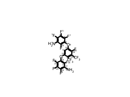 Nc1c(F)c(F)c(F)c(Oc2cc(Oc3c(F)c(N)c(F)c(F)c3F)c(C(F)(F)F)c(C(F)(F)F)c2F)c1F